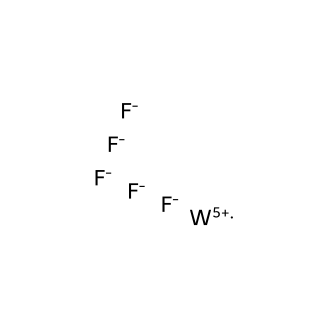 [F-].[F-].[F-].[F-].[F-].[W+5]